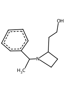 CC(c1ccccc1)N1CCC1CCO